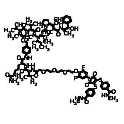 CCC(C)[C@@H]([C@@H](CC(=O)N1CCC[C@H]1[C@H](OC)[C@@H](C)C(=O)N[C@H](C)[C@@H](O)c1ccccc1)OC)N(C)C(=O)[C@@H](NC(=O)[C@H](C(C)C)N(C)C(=O)OCc1ccc(NC(=O)[C@H](CCCNC(N)=O)NC(=O)[C@@H](NC(=O)COCCOCCOCCOc2c(F)cc(N3C(=O)C(Sc4ccc(C(=O)NC)cc4)=C(Sc4ccc(C(=O)NC)cc4)C3=O)cc2F)C(C)C)cc1)C(C)C